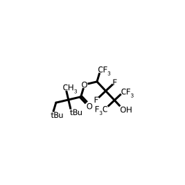 CC(C)(C)CC(C)(C(=O)OC(C(F)(F)F)C(F)(F)C(O)(C(F)(F)F)C(F)(F)F)C(C)(C)C